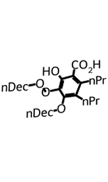 CCCCCCCCCCOOc1c(O)c(C(=O)O)c(CCC)c(CCC)c1OCCCCCCCCCC